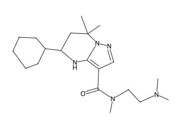 CN(C)CCN(C)C(=O)c1cnn2c1NC(C1CCCCC1)CC2(C)C